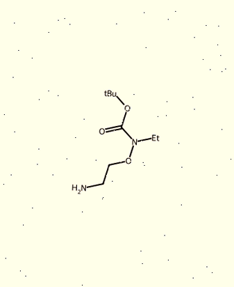 CCN(OCCN)C(=O)OC(C)(C)C